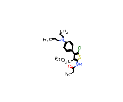 C=CCN(CC=C)c1ccc(-c2c(Cl)sc(NC(=O)CC#N)c2C(=O)OCC)cc1